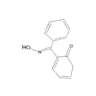 O=C1CC=CC=C1C(=NO)c1ccccc1